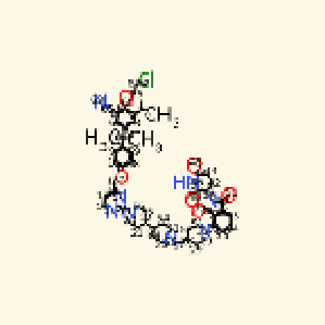 CCc1cc(C(C)(C)c2ccc(OCc3ccnc(N4CCC(C5CCN(CC6CCN(c7cccc8c7C(=O)N(C7CCC(=O)NC7=O)C8=O)CC6)CC5)CC4)n3)cc2)cc(C#N)c1OCCCl